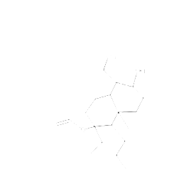 C=COC1(CC)CCC2C(CO)C(O)CCC2(C)C1CCC